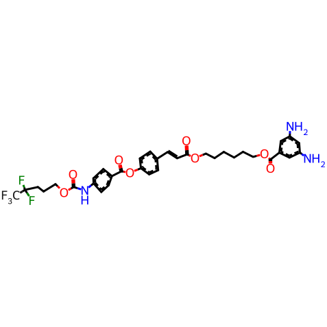 Nc1cc(N)cc(C(=O)OCCCCCCOC(=O)/C=C/c2ccc(OC(=O)c3ccc(NC(=O)OCCCC(F)(F)C(F)(F)F)cc3)cc2)c1